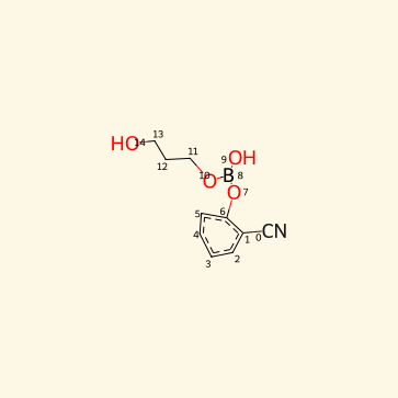 N#Cc1ccccc1OB(O)OCCCO